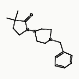 CC1(C)CCN(N2CCN(Cc3ccccc3)CC2)C1=O